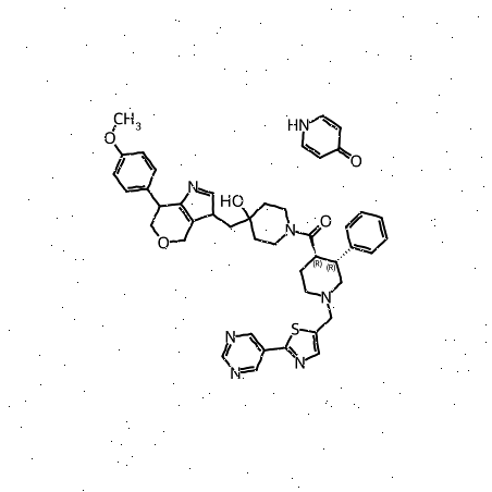 COc1ccc(C2COCC3=C2N=CC3CC2(O)CCN(C(=O)[C@@H]3CCN(Cc4cnc(-c5cncnc5)s4)C[C@H]3c3ccccc3)CC2)cc1.O=c1cc[nH]cc1